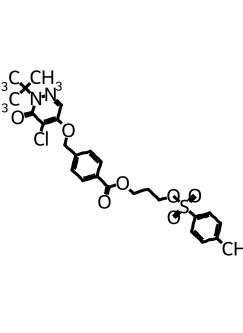 Cc1ccc(S(=O)(=O)OCCCOC(=O)c2ccc(COc3cnn(C(C)(C)C)c(=O)c3Cl)cc2)cc1